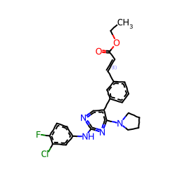 CCOC(=O)/C=C/c1cccc(-c2cnc(Nc3ccc(F)c(Cl)c3)nc2N2CCCC2)c1